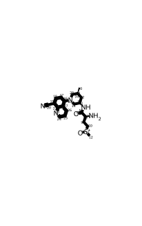 C[C@H]1C[C@@H](NC(=O)[C@@H](N)CC[S+](C)[O-])CN(c2ccc(C#N)c3ncccc23)C1